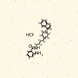 Cl.Nc1ccccc1C(=O)NCCCCN1CCN(c2csc3ccccc23)CC1